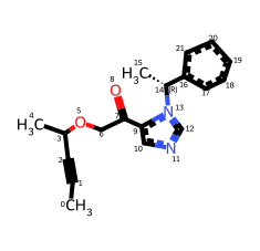 CC#CC(C)OCC(=O)c1cncn1[C@H](C)c1ccccc1